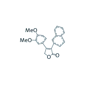 COc1ccc(C2=C(c3ccc4ccccc4c3)C(=O)OC2)cc1OC